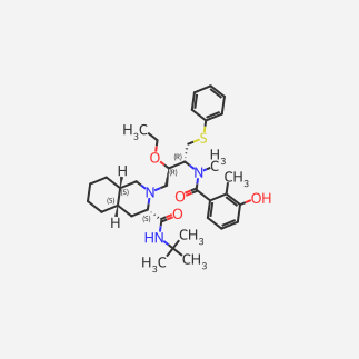 CCO[C@H](CN1C[C@H]2CCCC[C@H]2C[C@H]1C(=O)NC(C)(C)C)[C@H](CSc1ccccc1)N(C)C(=O)c1cccc(O)c1C